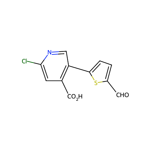 O=Cc1ccc(-c2cnc(Cl)cc2C(=O)O)s1